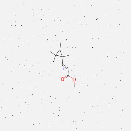 COC(=O)/C=C/C1(C)C(C)C1(C)C